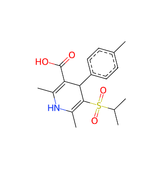 CC1=C(C(=O)O)C(c2ccc(C)cc2)C(S(=O)(=O)C(C)C)=C(C)N1